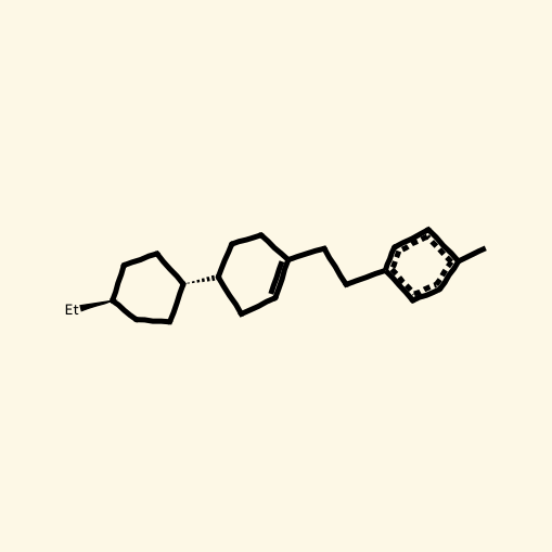 CC[C@H]1CC[C@H](C2CC=C(CCc3ccc(C)cc3)CC2)CC1